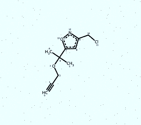 C#CCOC(C)(C)c1cc(CCl)no1